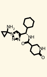 NC1(n2cc([C@@H](NC(=O)C3CCC(=O)NC3)C3CCCCC3)nn2)CC1